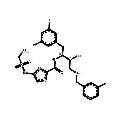 CCS(=O)(=O)Nc1coc(C(=O)N[C@@H](Cc2cc(F)cc(F)c2)[C@@H](O)CNCc2cccc(I)c2)n1